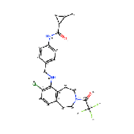 CC1CC1C(=O)Nc1ccc(CNc2c(Cl)ccc3c2CCN(C(=O)C(F)(F)F)CC3)cc1